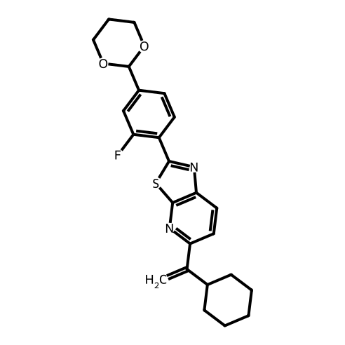 C=C(c1ccc2nc(-c3ccc(C4OCCCO4)cc3F)sc2n1)C1CCCCC1